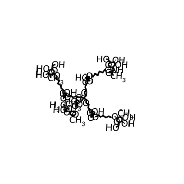 CC(=O)NC1[C@H](OCCCCCCOP(=O)(O)OCCCOCC(COCCCOP(=O)(O)OCCCCCCO[C@@H]2OC(CO)[C@H](O)[C@H](O)C2C)(COCCCOP(=O)(O)OCCCCCCO[C@@H]2OC(CO)[C@H](O)[C@H](O)C2C)COP(=O)(O)OC[C@H]2O[C@@H](C)C[C@@H]2OP(=O)(O)C(C)C)OC(CO)[C@H](O)[C@@H]1O